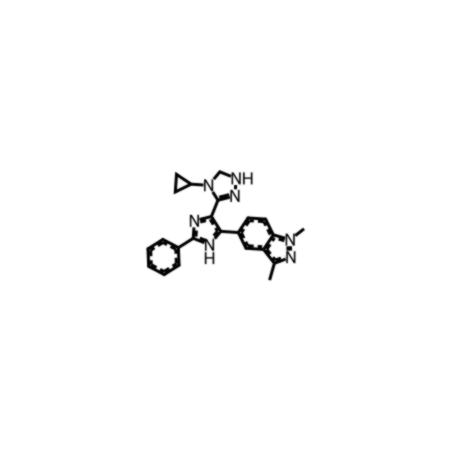 Cc1nn(C)c2ccc(-c3[nH]c(-c4ccccc4)nc3C3=NNCN3C3CC3)cc12